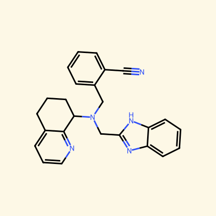 N#Cc1ccccc1CN(Cc1nc2ccccc2[nH]1)C1CCCc2cccnc21